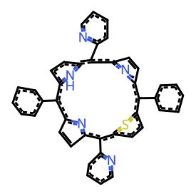 C1=Cc2nc1c(-c1ccccc1)c1ccc([nH]1)c(-c1ccccn1)c1nc(c(-c3ccccc3)c3ccc(s3)c2-c2ccccn2)C=C1